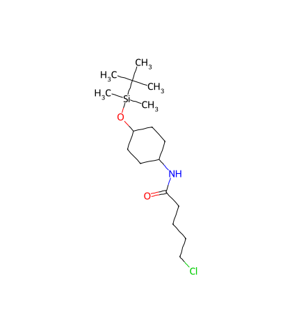 CC(C)(C)[Si](C)(C)OC1CCC(NC(=O)CCCCCl)CC1